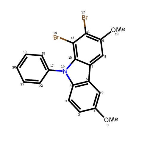 COc1ccc2c(c1)c1cc(OC)c(Br)c(Br)c1n2-c1ccccc1